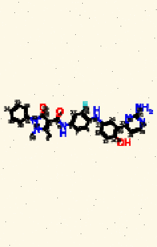 Cc1c(C(=O)Nc2ccc(Nc3ccc(O)c(-c4ccnc(N)n4)c3)c(F)c2)c(=O)n(-c2ccccc2)n1C